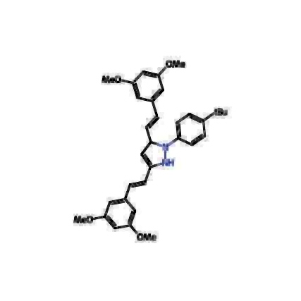 COc1cc(C=CC2=CC(C=Cc3cc(OC)cc(OC)c3)N(c3ccc(C(C)(C)C)cc3)N2)cc(OC)c1